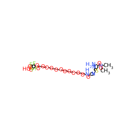 CCCN(OCC)C(=O)C1=Cc2sc(CN3CCC(C(=O)NCCOCCOCCOCCOCCOCCOCCOCCOCCOCCOCCC(=O)Oc4c(F)c(F)c(S(=O)(=O)O)c(F)c4F)CC3)cc2N=C(N)C1